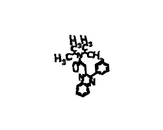 CC(C)N(C(=O)Cc1nc2ccccc2nc1-c1ccccc1)C(C)C